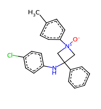 Cc1ccc([N+]2([O-])CC(Nc3ccc(Cl)cc3)(c3ccccc3)C2)cc1